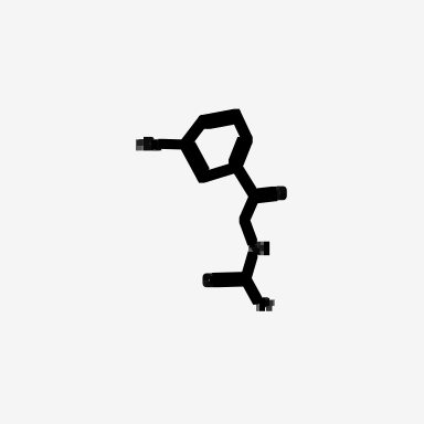 CCCCc1cccc(C(=O)CNC(=O)C(C)C)c1